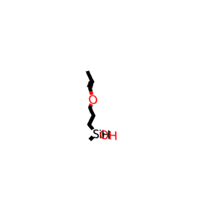 CC=COCCC[SiH](C)O